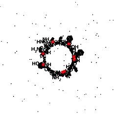 CCCCC[C@@H]1NC(=O)[C@H](Cc2cnc[nH]2)NC(=O)[C@@H]2CCCN2C(=O)[C@H](CC(N)=O)NC(=O)[C@H](C)N(C)C(=O)[C@H](Cc2ccc(O)cc2)NC(=O)CSC[C@@H](C(=O)NCC(N)=O)NC(=O)[C@H](CCCNC(=N)N)NC(=O)[C@H](CCCC)N(C)C(=O)[C@H](CCCC)N(C)C(=O)[C@H](Cc2csc3ccccc23)NC(=O)[C@H](CO)NC(=O)[C@H](Cc2c[nH]c3ccccc23)NC(=O)[C@@H]2CCCN2C1=O